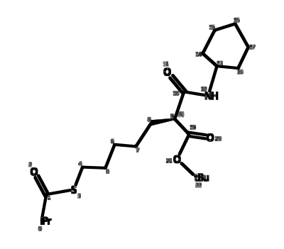 CC(C)C(=O)SCCCCC[C@@H](C(=O)NC1CCCCC1)C(=O)OC(C)(C)C